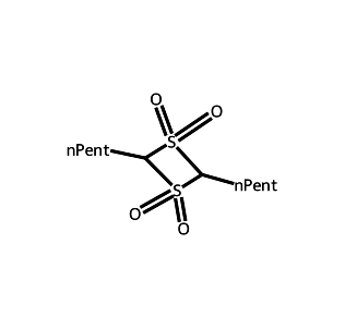 CCCCCC1S(=O)(=O)C(CCCCC)S1(=O)=O